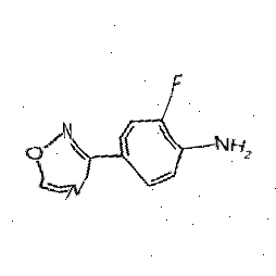 Nc1ccc(-c2ncon2)cc1F